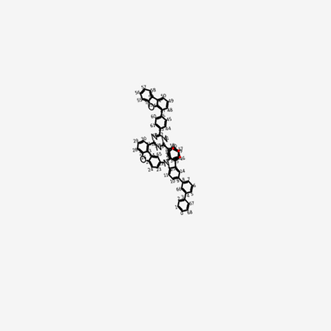 c1ccc(-c2cccc(-c3ccc4c(c3)c3ccccc3n4-c3ccc4oc5cccc(-c6nc(-c7ccccc7)nc(-c7ccc(-c8cccc9c8oc8ccccc89)cc7)n6)c5c4c3)c2)cc1